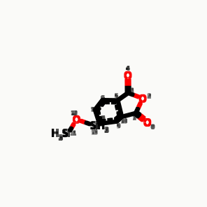 O=C1OC(=O)c2ccccc21.[SiH3]O[SiH3]